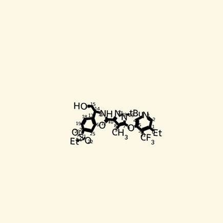 CCc1cncc(Oc2c(C)c(C(=O)NC(CO)c3ccc(S(=O)(=O)CC)cc3)nn2C(C)(C)C)c1C(F)(F)F